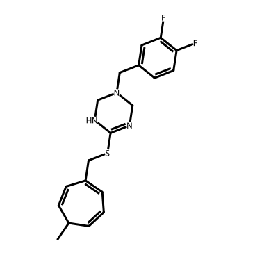 CC1C=CC=C(CSC2=NCN(Cc3ccc(F)c(F)c3)CN2)C=C1